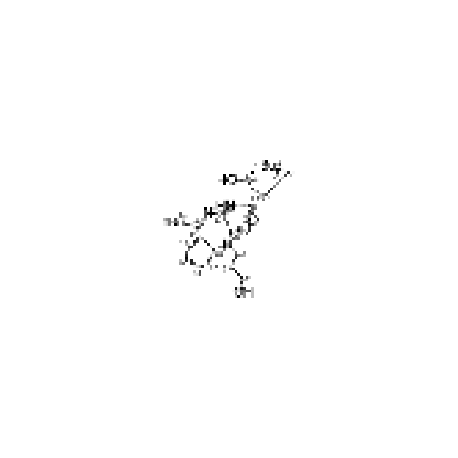 CCCC[C@H](O)[C@@H](CC1CC1)C(=O)N[C@@H]1N=C(C(C)(C)C)c2ccccc2N(CCCO)C1=O